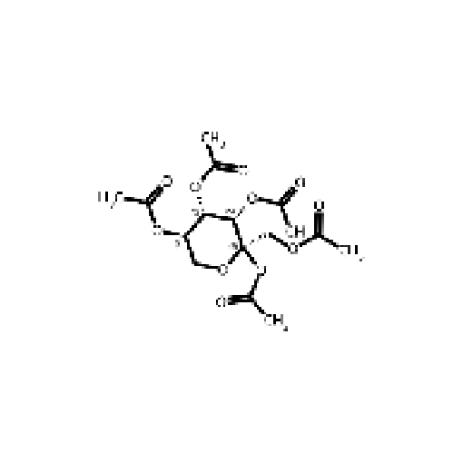 CC(=O)OC[C@]1(OC(C)=O)OC[C@@H](OC(C)=O)[C@H](OC(C)=O)[C@@H]1OC(C)=O